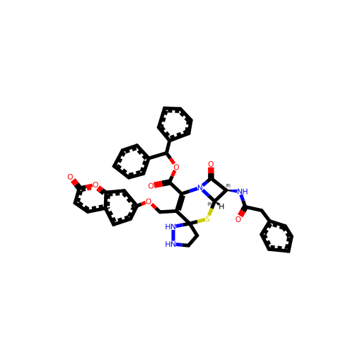 O=C(Cc1ccccc1)N[C@@H]1C(=O)N2C(C(=O)OC(c3ccccc3)c3ccccc3)=C(COc3ccc4ccc(=O)oc4c3)C3(CCNN3)S[C@H]12